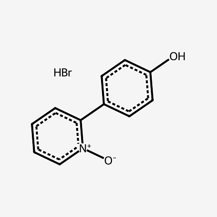 Br.[O-][n+]1ccccc1-c1ccc(O)cc1